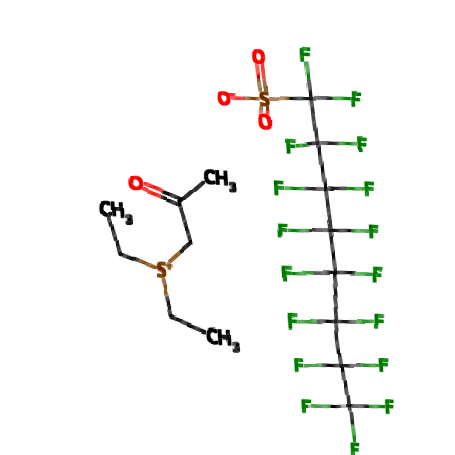 CC[S+](CC)CC(C)=O.O=S(=O)([O-])C(F)(F)C(F)(F)C(F)(F)C(F)(F)C(F)(F)C(F)(F)C(F)(F)C(F)(F)F